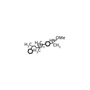 COCNC(C)c1ccc(C(C)CC(C)(C)CCC(C)c2ccccc2)cc1